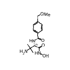 COCc1ccc(C(=O)N[C@H](C(=O)NO)C(C)(C)N)cc1